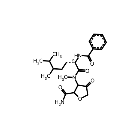 CC(C)C(C)CC[C@H](NC(=O)c1ccccc1)C(=O)N(C)C1C(=O)COC1C(N)=O